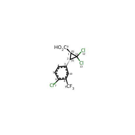 O=C(O)[C@@H]1[C@@H](c2ccc(Cl)c(C(F)(F)F)c2)C1(Cl)Cl